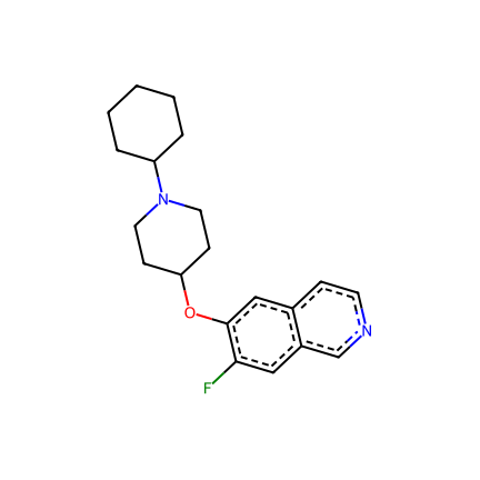 Fc1cc2cnccc2cc1OC1CCN(C2CCCCC2)CC1